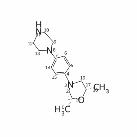 C[C@@H]1CN(c2ccc(N3CCNCC3)cc2)C[C@H](C)O1